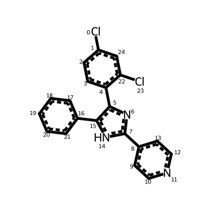 Clc1ccc(-c2nc(-c3ccncc3)[nH]c2-c2ccccc2)c(Cl)c1